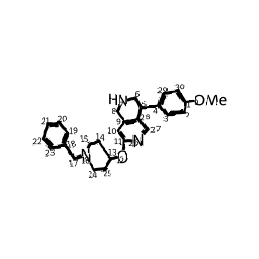 COc1ccc(C2CNCc3cc(OC4CCN(Cc5ccccc5)CC4)ncc32)cc1